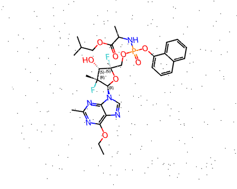 CCOc1nc(C)nc2c1ncn2[C@@H]1O[C@](F)(COP(=O)(NC(C)C(=O)OCC(C)C)Oc2cccc3ccccc23)[C@@H](O)[C@@]1(C)F